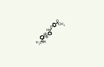 CNc1cccc(S(=O)(=O)c2cccc(NCOc3ccc(C(C)=O)cc3)c2)c1